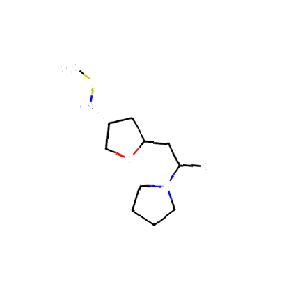 CSN[C@H]1COC(CC(C)N2CCCC2)C1